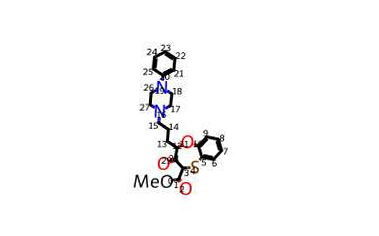 COC(=O)C1Sc2ccccc2OC(CCCN2CCN(c3ccccc3)CC2)C1=O